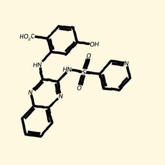 O=C(O)c1ccc(O)cc1Nc1nc2ccccc2nc1NS(=O)(=O)c1cccnc1